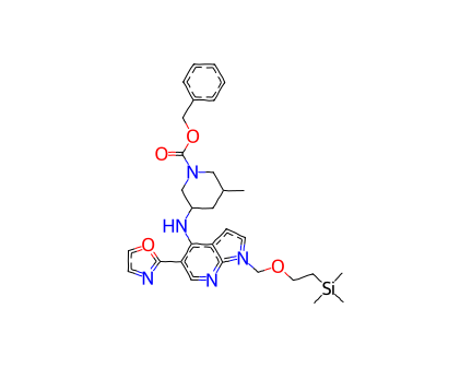 CC1CC(Nc2c(-c3ncco3)cnc3c2ccn3COCC[Si](C)(C)C)CN(C(=O)OCc2ccccc2)C1